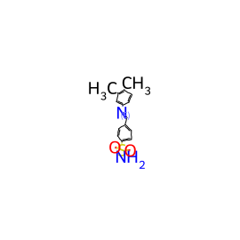 Cc1ccc(/N=C/c2ccc(S(N)(=O)=O)cc2)cc1C